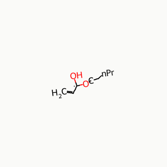 C=C[C](O)OCCCCC